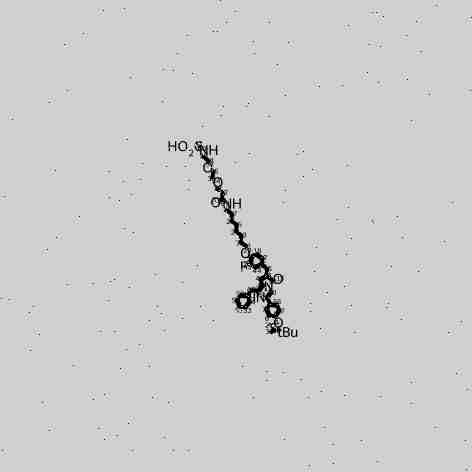 CC(C)(C)[Si](C)(C)Oc1ccc(-c2cn3c(=O)c(Cc4ccc(OCCCCCCCCNC(=O)CCOCCOCCNC(=O)O)c(F)c4)cc-3c(Cc3ccccc3)[nH]2)cc1